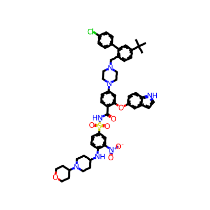 CC(C)(C)c1ccc(CN2CCN(c3ccc(C(=O)NS(=O)(=O)c4ccc(NC5CCN(C6CCOCC6)CC5)c([N+](=O)[O-])c4)c(Oc4ccc5[nH]ccc5c4)c3)CC2)c(-c2ccc(Cl)cc2)c1